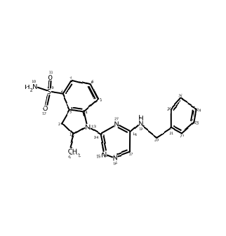 CC1Cc2c(cccc2S(N)(=O)=O)N1c1nncc(NCc2ccccc2)n1